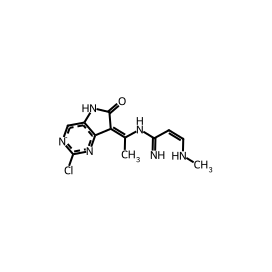 CN/C=C\C(=N)N/C(C)=C1\C(=O)Nc2cnc(Cl)nc21